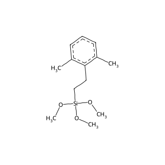 CO[Si](CCc1c(C)cccc1C)(OC)OC